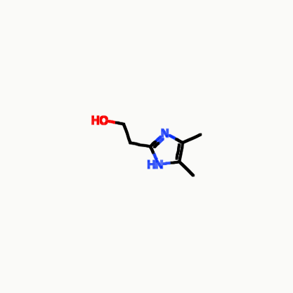 Cc1nc(CCO)[nH]c1C